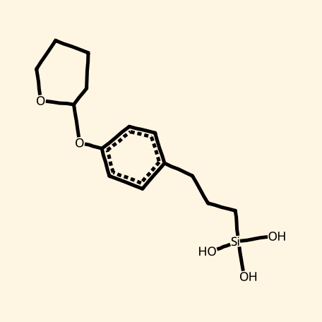 O[Si](O)(O)CCCc1ccc(OC2CCCCO2)cc1